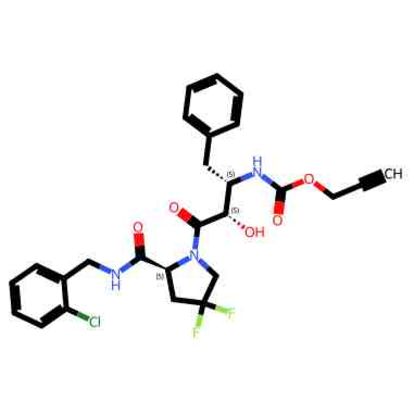 C#CCOC(=O)N[C@@H](Cc1ccccc1)[C@H](O)C(=O)N1CC(F)(F)C[C@H]1C(=O)NCc1ccccc1Cl